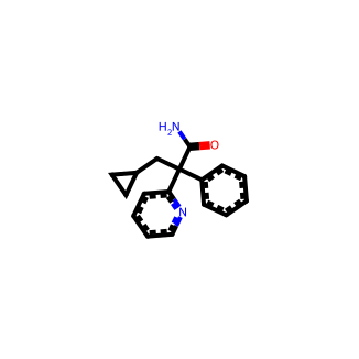 NC(=O)C(CC1CC1)(c1ccccc1)c1ccccn1